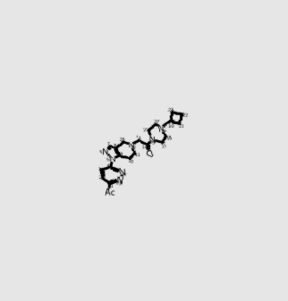 CC(=O)c1ccc(-n2ncc3c2CCN(CC(=O)N2CCN(C4CCC4)CC2)C3)nn1